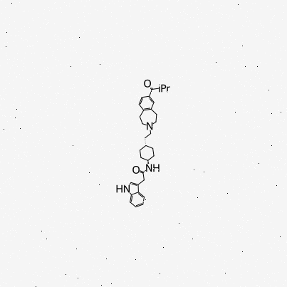 CC(C)C(=O)c1ccc2c(c1)CCN(CC[C@H]1CC[C@H](NC(=O)Cc3c[nH]c4ccccc34)CC1)CC2